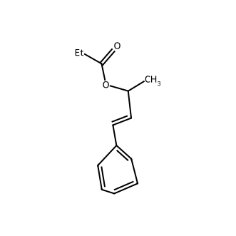 CCC(=O)OC(C)C=Cc1ccccc1